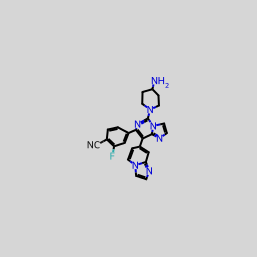 N#Cc1ccc(-c2nc(N3CCC(N)CC3)n3ccnc3c2-c2ccn3ccnc3c2)cc1F